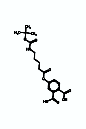 CC(C)(C)OC(=O)NCCCCC(=O)Oc1ccc(C(=O)O)c(C(=O)O)c1